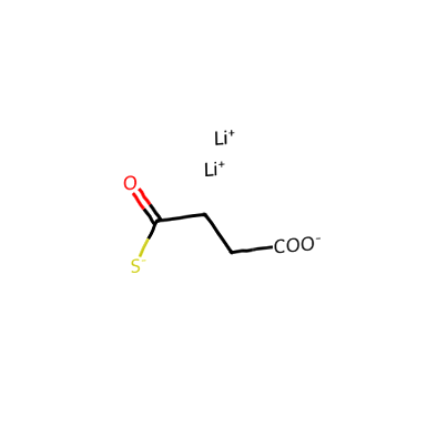 O=C([O-])CCC(=O)[S-].[Li+].[Li+]